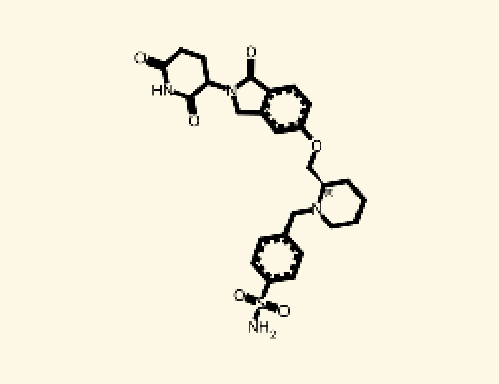 NS(=O)(=O)c1ccc(CN2CCCC[C@@H]2COc2ccc3c(c2)CN(C2CCC(=O)NC2=O)C3=O)cc1